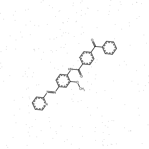 COc1cc(/N=N/c2ccccn2)ccc1NC(=O)c1ccc(C(=O)c2ccccc2)cc1